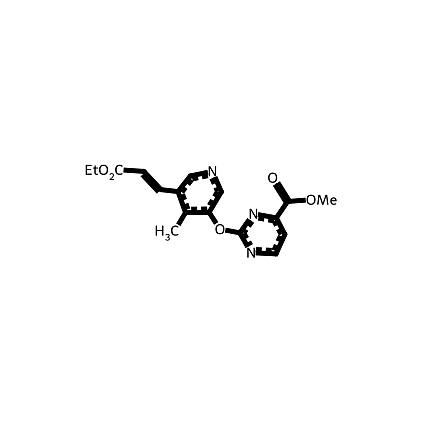 CCOC(=O)/C=C/c1cncc(Oc2nccc(C(=O)OC)n2)c1C